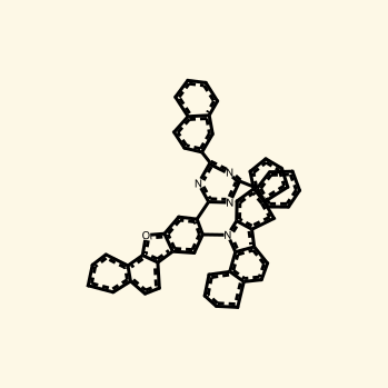 c1ccc(-c2nc(-c3ccc4ccccc4c3)nc(-c3cc4oc5c6ccccc6ccc5c4cc3-n3c4cc5ccccc5cc4c4ccc5ccccc5c43)n2)cc1